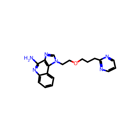 Nc1nc2ccccc2c2c1ncn2CCOCCCc1ncccn1